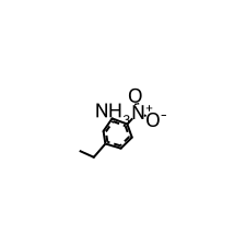 CCc1ccc([N+](=O)[O-])cc1.N